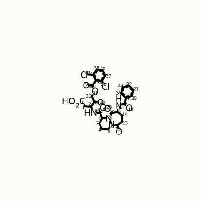 O=C(O)CC(NC(=O)C1CCCN2C(=O)CC[C@H](NC(=O)c3ccccc3)C(=O)N12)C(=O)COC(=O)c1c(Cl)cccc1Cl